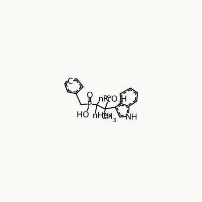 CCCCCCC(CCC)(C(C)(C(=O)O)c1c[nH]c2ccccc12)P(=O)(O)Cc1ccccc1